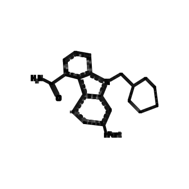 CCCCCc1c[c]c2c3c(C(N)=O)cccc3n(CC3CCCCC3)c2c1